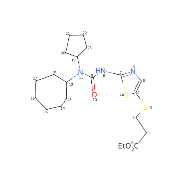 CCOC(=O)CCSc1cnc(NC(=O)N(C2CCCCCC2)C2CCCC2)s1